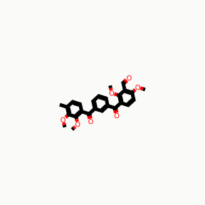 COc1ccc(C(=O)c2cccc(C(=O)c3ccc(C)c(OC)c3OC)c2)c(OC)c1C=O